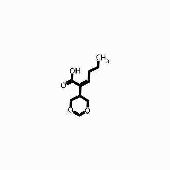 CCCC=C(C(=O)O)C1COCOC1